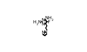 Nc1nc(N)c(F)c(CCCn2cccn2)n1